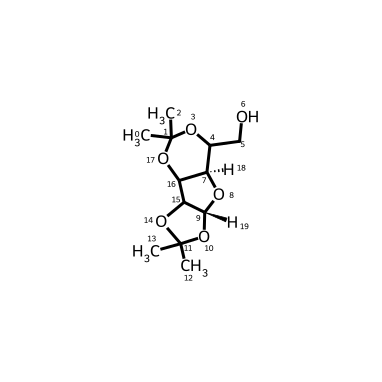 CC1(C)OC(CO)[C@H]2O[C@@H]3OC(C)(C)OC3C2O1